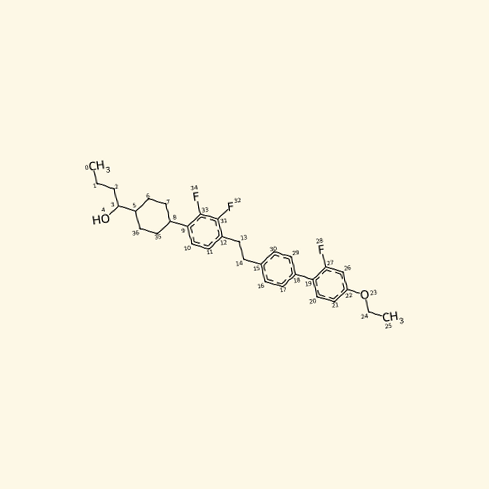 CCCC(O)C1CCC(c2ccc(CCc3ccc(-c4ccc(OCC)cc4F)cc3)c(F)c2F)CC1